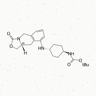 CC(C)(C)OC(=O)N[C@H]1CC[C@H](Nc2cccc3c2C[C@@H]2COC(=O)N2C3)CC1